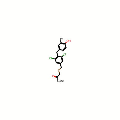 COC(=O)CSCc1cc(Cl)c(Cc2ccc(O)c(C(C)C)c2)c(Cl)c1